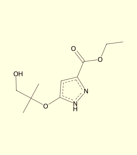 CCOC(=O)c1cc(OC(C)(C)CO)[nH]n1